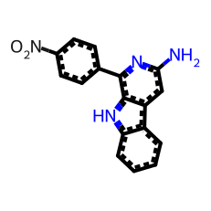 Nc1cc2c([nH]c3ccccc32)c(-c2ccc([N+](=O)[O-])cc2)n1